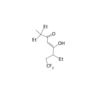 CCC(CC(F)(F)F)/C(O)=C/C(=O)C(C)(CC)CC